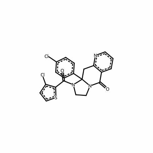 O=C1c2cccnc2CC2(c3ccc(Cl)cc3)N1CCN2C(=O)c1sccc1Cl